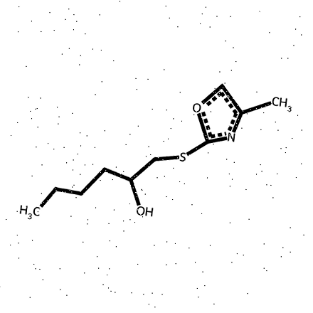 CCCCC(O)CSc1nc(C)co1